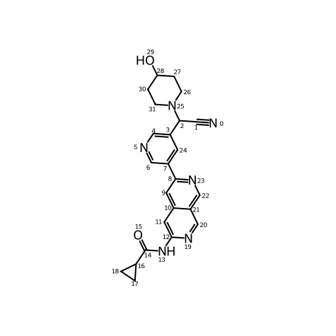 N#CC(c1cncc(-c2cc3cc(NC(=O)C4CC4)ncc3cn2)c1)N1CCC(O)CC1